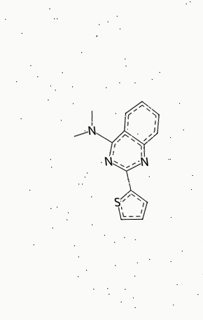 CN(C)c1nc(-c2cccs2)nc2ccccc12